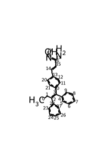 CCC(=C(c1ccccc1)c1ccc(C=CC(N)=NO)cc1)c1ccccc1